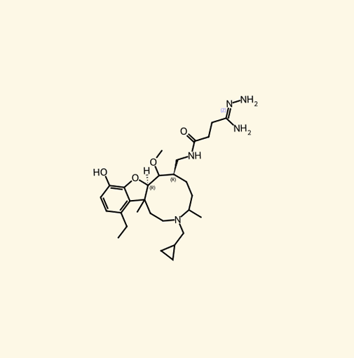 CCc1ccc(O)c2c1C1(C)CCN(CC3CC3)C(C)CC[C@H](CNC(=O)CC/C(N)=N/N)C(OC)[C@@H]1O2